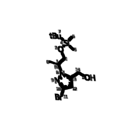 C[C@@H](CO[Si](C)(C)C(C)(C)C)n1nc(Br)cc1CO